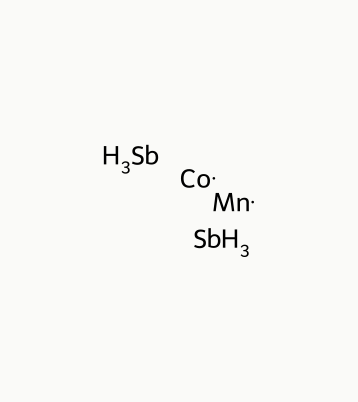 [Co].[Mn].[SbH3].[SbH3]